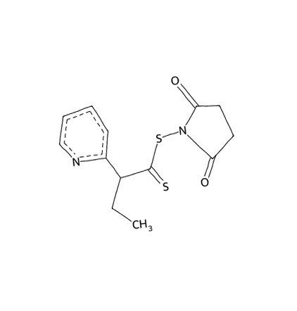 CCC(C(=S)SN1C(=O)CCC1=O)c1ccccn1